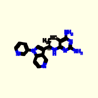 C[C@H](Nc1nc(N)nc(N)c1C#N)c1cn(-c2cccnc2)c2ccncc12